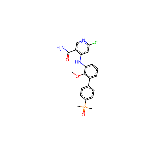 COc1c(Nc2cc(Cl)ncc2C(N)=O)cccc1-c1ccc(P(C)(C)=O)cc1